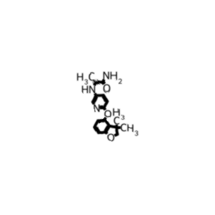 C[C@@H](Nc1ccc(Oc2cccc3c2C(C)(C)CO3)nc1)C(N)=O